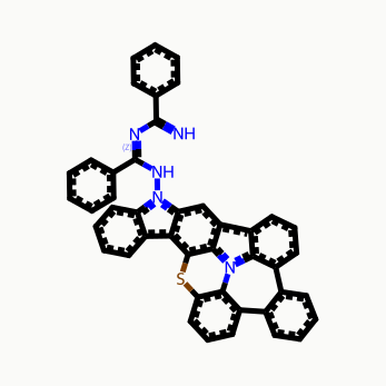 N=C(/N=C(\Nn1c2ccccc2c2c3c4c(cc21)c1cccc2c1n4-c1c(cccc1-c1ccccc1-2)S3)c1ccccc1)c1ccccc1